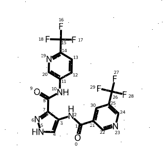 O=C(Nc1c[nH]nc1C(=O)Nc1ccc(C(F)(F)F)nc1)c1cncc(C(F)(F)F)c1